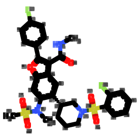 CNC(=O)c1c(-c2ccc(F)cc2)oc2cc(N(C)S(C)(=O)=O)c([C@H]3CCCN(S(=O)(=O)c4ccccc4F)C3)cc12